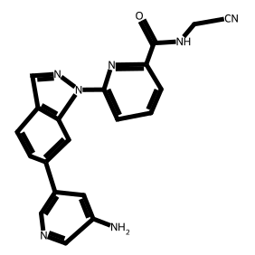 N#CCNC(=O)c1cccc(-n2ncc3ccc(-c4cncc(N)c4)cc32)n1